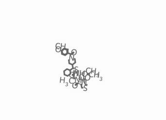 COc1ccc(C(=O)N2CCC(C(SNC(=O)[C@@H](C)NC(=O)[C@@H]3CSCN3C(=O)OC(C)(C)C)C3CCCCC3)CC2)cc1